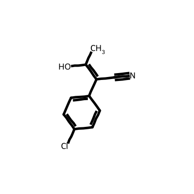 CC(O)=C(C#N)c1ccc(Cl)cc1